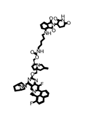 C#Cc1c(F)ccc2cccc(-c3ncc4c(N5CC6CCC(C5)N6)nc(OC[C@@]56CC[C@@H](COC(=O)NCCCCCNc7cccc8c7C(=O)N(C7CCC(=O)NC7=O)C8=O)N5CC(=C)C6)nc4c3F)c12